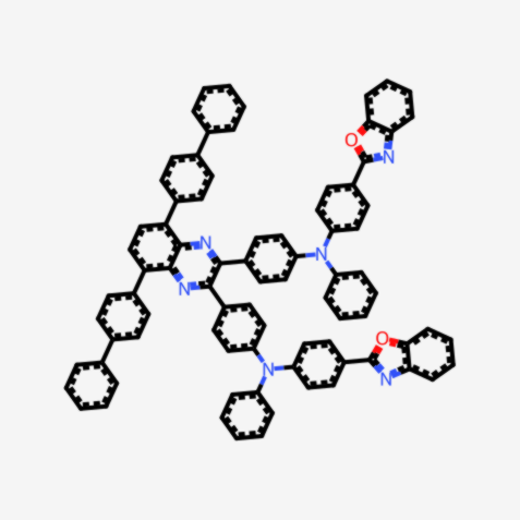 c1ccc(-c2ccc(-c3ccc(-c4ccc(-c5ccccc5)cc4)c4nc(-c5ccc(N(c6ccccc6)c6ccc(-c7nc8ccccc8o7)cc6)cc5)c(-c5ccc(N(c6ccccc6)c6ccc(-c7nc8ccccc8o7)cc6)cc5)nc34)cc2)cc1